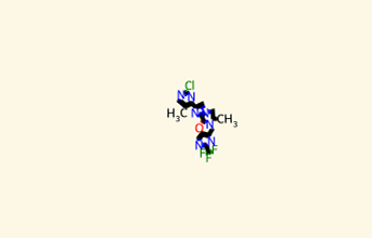 Cc1cnc(Cl)nc1-c1cn2c(n1)C(=O)N(Cc1ccnc(C(F)(F)F)n1)C(C)C2